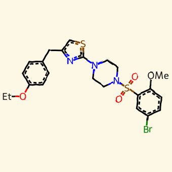 CCOc1ccc(Cc2csc(N3CCN(S(=O)(=O)c4cc(Br)ccc4OC)CC3)n2)cc1